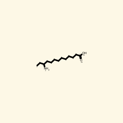 CCC(N)CCCCCCCCCC(=O)O